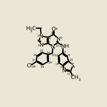 CCn1cnc2c1c(=O)nc(Nc1ccc3nc(C)sc3c1)n2Cc1ccc(Cl)cc1